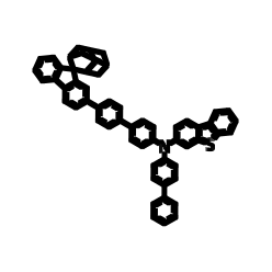 c1ccc(-c2ccc(N(c3ccc(-c4ccc(-c5ccc6c(c5)C5(c7ccccc7-6)C6CC7CC(C6)CC5C7)cc4)cc3)c3ccc4c(c3)sc3ccccc34)cc2)cc1